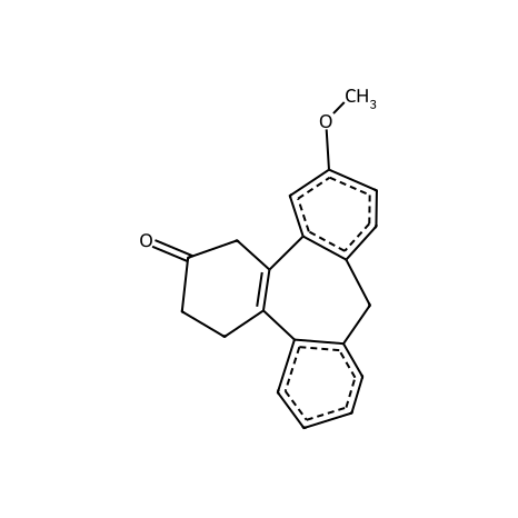 COc1ccc2c(c1)C1=C(CCC(=O)C1)c1ccccc1C2